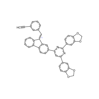 C#Cc1cccc(/C=C2\c3ccccc3-c3ccc(-c4cc(-c5ccc6c(c5)OCO6)nc(-c5ccc6c(c5)OCO6)n4)cc32)c1